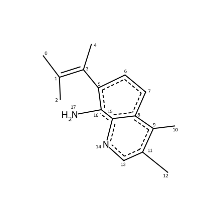 CC(C)=C(C)c1ccc2c(C)c(C)cnc2c1N